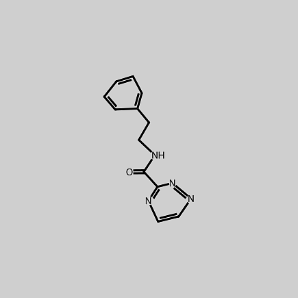 O=C(NCCc1ccccc1)c1nccnn1